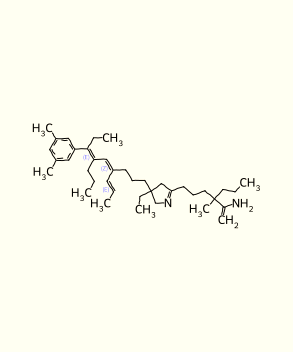 C=C(N)C(C)(CCC)CCCC1=NCC(CC)(CCCC(=C/C(CCC)=C(\CC)c2cc(C)cc(C)c2)/C=C/C)C1